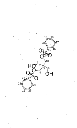 O=S(=O)(OCC(CO)(CO)COS(=O)(=O)c1ccccc1)c1ccccc1